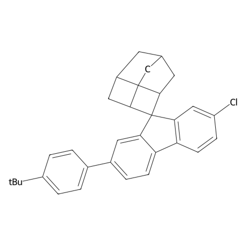 CC(C)(C)c1ccc(-c2ccc3c(c2)C2(c4cc(Cl)ccc4-3)C3CC4CC5CC2C53C4)cc1